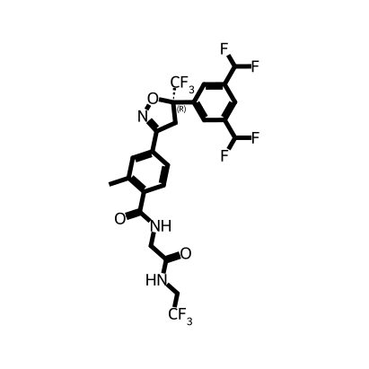 Cc1cc(C2=NO[C@](c3cc(C(F)F)cc(C(F)F)c3)(C(F)(F)F)C2)ccc1C(=O)NCC(=O)NCC(F)(F)F